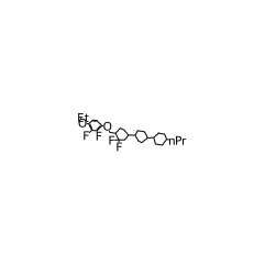 CCCC1CCC(C2CCC(C3CCC(COc4ccc(OCC)c(F)c4F)C(F)(F)C3)CC2)CC1